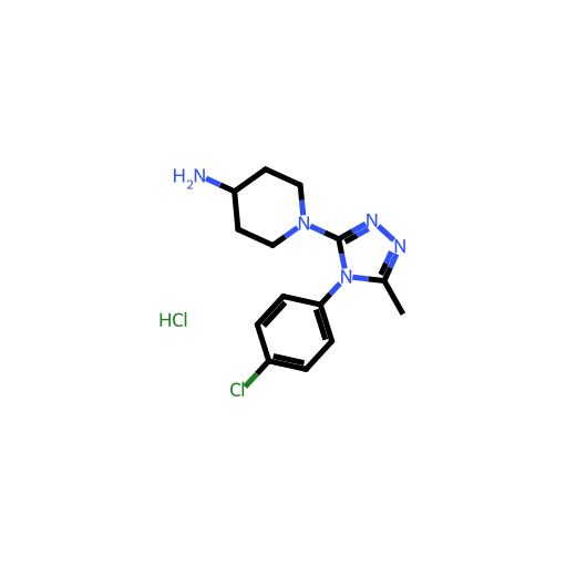 Cc1nnc(N2CCC(N)CC2)n1-c1ccc(Cl)cc1.Cl